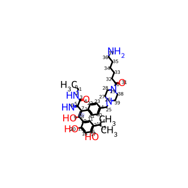 CCNC(=O)C(=N)/C(=C(\O)c1cc(C(C)C)c(O)cc1O)c1ccc(CN2CCN(C(=O)CCCCCN)CC2)cc1